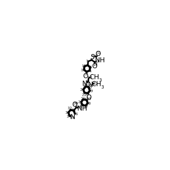 CC(Oc1ccc(CC2SC(=O)NC2=O)cc1)c1nc2ccc(Oc3ccc(NC(=O)c4cccnc4)cc3)cc2n1C